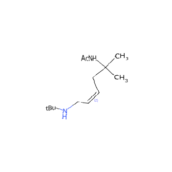 CC(=O)NC(C)(C)C/C=C\CNC(C)(C)C